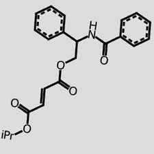 CC(C)OC(=O)/C=C/C(=O)OCC(NC(=O)c1ccccc1)c1ccccc1